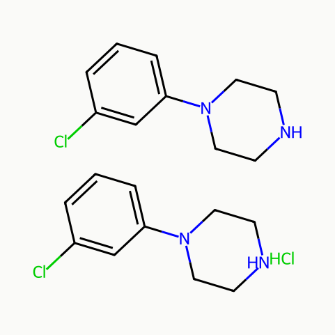 Cl.Clc1cccc(N2CCNCC2)c1.Clc1cccc(N2CCNCC2)c1